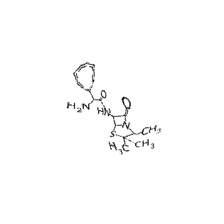 CC1N2C(=O)C(NC(=O)C(N)c3ccccc3)C2SC1(C)C